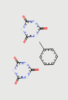 Cc1ccccc1.O=c1[nH]c(=O)[nH]c(=O)[nH]1.O=c1[nH]c(=O)[nH]c(=O)[nH]1